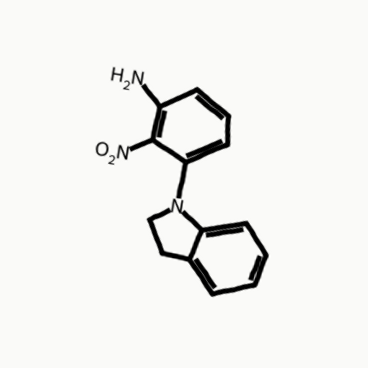 Nc1cccc(N2CCc3ccccc32)c1[N+](=O)[O-]